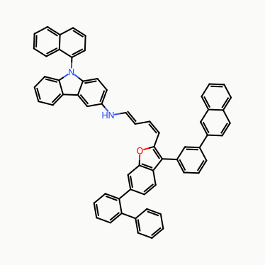 C(=C/c1oc2cc(-c3ccccc3-c3ccccc3)ccc2c1-c1cccc(-c2ccc3ccccc3c2)c1)/C=C/Nc1ccc2c(c1)c1ccccc1n2-c1cccc2ccccc12